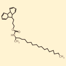 CCCCCCCCCCCCCCCCC(C)NC(=O)OCCCC1C2C=CC=CC2C2C=CC=CC21